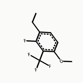 CCc1ccc(OC)c(C(F)(F)F)c1F